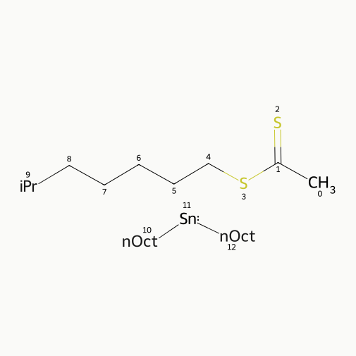 CC(=S)SCCCCCC(C)C.CCCCCCC[CH2][Sn][CH2]CCCCCCC